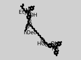 C=C/C(C)=C\C=C(/CC)c1nc(-c2ccc(C)cc2C)nc(-c2ccc(OCC(COCCCCCCCCCCCCC)OCCCCCCCCCCCCOCC(O)COc3ccc(-c4nc(-c5ccc(C)cc5C)nc(-c5ccc(C)cc5C)n4)c(O)c3)cc2O)n1